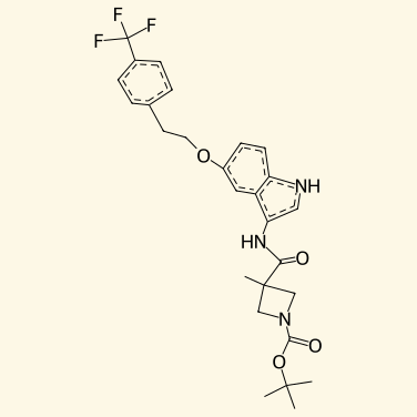 CC(C)(C)OC(=O)N1CC(C)(C(=O)Nc2c[nH]c3ccc(OCCc4ccc(C(F)(F)F)cc4)cc23)C1